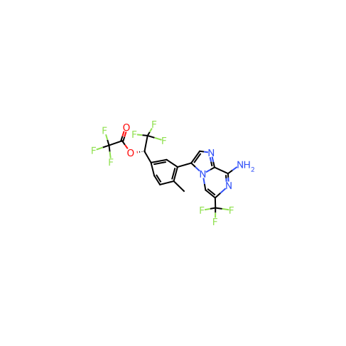 Cc1ccc([C@H](OC(=O)C(F)(F)F)C(F)(F)F)cc1-c1cnc2c(N)nc(C(F)(F)F)cn12